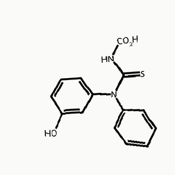 O=C(O)NC(=S)N(c1ccccc1)c1cccc(O)c1